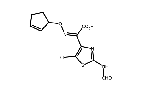 O=CNc1nc(C(=NOC2C=CCC2)C(=O)O)c(Cl)s1